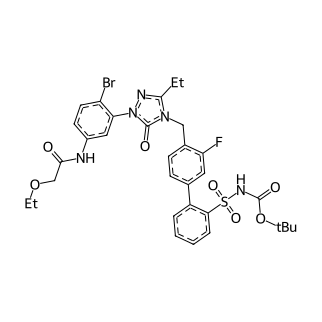 CCOCC(=O)Nc1ccc(Br)c(-n2nc(CC)n(Cc3ccc(-c4ccccc4S(=O)(=O)NC(=O)OC(C)(C)C)cc3F)c2=O)c1